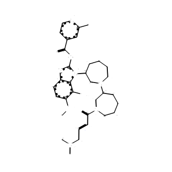 COc1ccc2nc(NC(=O)c3ccnc(C)c3)n(C3CCCCN(C4CCCCN(C(=O)/C=C/CN(C)C)C4)C3)c2c1Cl